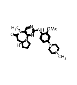 COc1cc(N2CCN(C)CC2)ccc1Nc1ncc2c(n1)N1CCC[C@H]1CC(=O)N2C